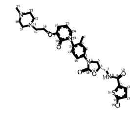 Cc1cc(N2C[C@H](CNC(=O)c3ccc(Cl)s3)OC2=O)ccc1-n1cccc(OCCN2CCN(C)CC2)c1=O